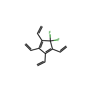 C=CC1=C(C=C)C(F)(F)C(C=C)=C1C=C